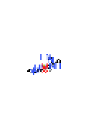 C=Cc1cc(S(=O)(=O)NC(=O)c2ccc(N3CCN(CC(=C)C)CC3)cc2)ccc1NC(CCc1ccccc1)CCN1CCNCC1